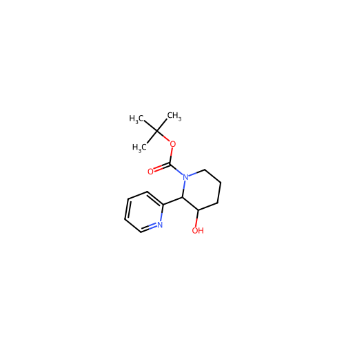 CC(C)(C)OC(=O)N1CCCC(O)C1c1ccccn1